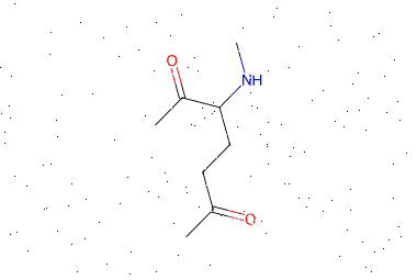 CNC(CCC(C)=O)C(C)=O